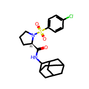 O=C(NC1C2CC3CC(C2)CC1C3)[C@H]1CCCN1S(=O)(=O)c1ccc(Cl)cc1